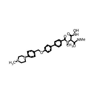 CNC(=O)C(C(=O)NO)N(C)C(=O)c1ccc(-c2ccc(OCc3ccc(N4CCN(C)CC4)cc3)cc2)cc1